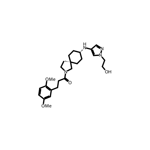 COc1ccc(OC)c(CCC(=O)N2CC[C@]3(CC[C@@H](Nc4cnn(CCO)c4)CC3)C2)c1